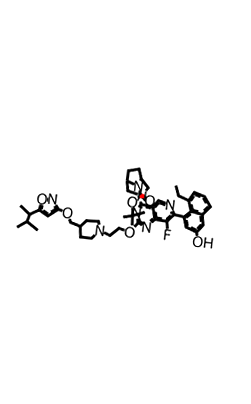 CCc1cccc2cc(O)cc(-c3ncc4c(N5CC6CCC(C5)N6C(=O)OC(C)(C)C)nc(OCCN5CCC(COc6cc(C(C)C(C)C)on6)CC5)nc4c3F)c12